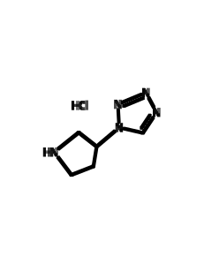 Cl.c1nnnn1C1CCNC1